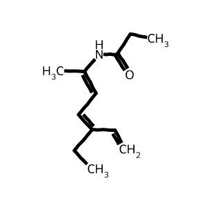 C=C/C(=C\C=C(/C)NC(=O)CC)CC